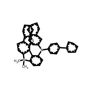 C[Si]1(C)c2cccc(N(c3ccc(-c4ccccc4)cc3)c3ccc4ccccc4c3)c2-c2c1ccc1c2sc2ccccc21